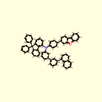 c1ccc(C2(c3ccccc3)c3ccccc3-c3c(N(c4ccc(-c5ccc6c(c5)oc5ccccc56)cc4)c4cccc(-c5cccc(-c6cccc7ccccc67)c5)c4)cccc32)cc1